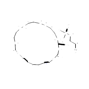 C[C@@H]1C/C=C/CC/C=C\CCCCCCCCCCCC[C@H](OP(=O)(O)OCCN=O)CC(=O)O1